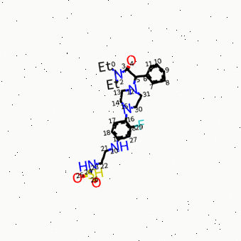 CCN(CC)C(=O)C(c1ccccc1)N1CCN(c2ccc(NCCN[SH](=O)=O)cc2F)CC1